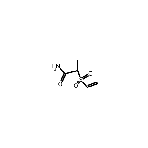 C=CS(=O)(=O)C(C)C(N)=O